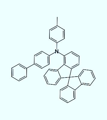 Cc1ccc(N(c2ccc(-c3ccccc3)cc2)c2cccc3c2-c2ccccc2C32c3ccccc3-c3ccccc32)cc1